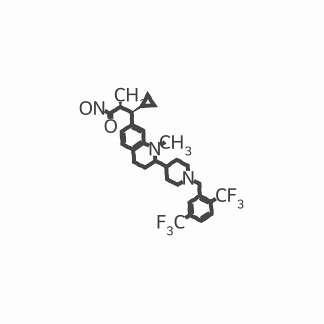 C[C@H](C(=O)N=O)[C@H](c1ccc2c(c1)N(C)C(C1CCN(Cc3cc(C(F)(F)F)ccc3C(F)(F)F)CC1)CC2)C1CC1